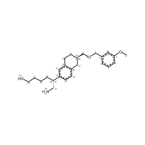 COc1cccc(COC[C@@H]2CCc3cc([C@H](CN)CCCCO)ccc3C2)c1